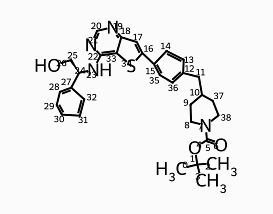 CC(C)(C)OC(=O)N1CCC(Cc2ccc(-c3cc4ncnc(N[C@H](CO)c5ccccc5)c4s3)cc2)CC1